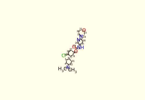 CN(C)c1ccc(-c2cc(OC(=O)Nc3ccc(N4CCCOCC4)nc3)ccc2Cl)cc1